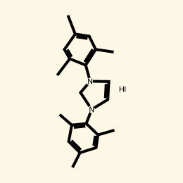 Cc1cc(C)c(N2C=CN(c3c(C)cc(C)cc3C)C2)c(C)c1.I